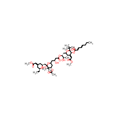 C=C[C@H]1C/C(=C\C(=O)OC)C[C@@H](C[C@]2(O)OC(C[C@@H](O)CC(=O)O[C@H](CC3C/C(=C\C(=O)OC)[C@H](OC(=O)/C=C/C=C/CCC)[C@](O)(C(C)(C)C)O3)[C@@H](C)O)C[C@H](OC(C)=O)C2(C)C)O1